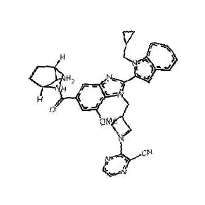 COc1cc(C(=O)N2C[C@H]3CC[C@@H]2[C@@H]3N)cc2nc(-c3cc4ccccc4n3CC3CC3)n(CC3CN(c4nccnc4C#N)C3)c12